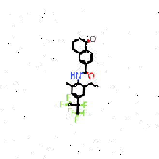 CCc1cc(C(F)(C(F)(F)F)C(F)(F)F)cc(C)c1NC(=O)c1ccc2c(c1)CCCC2=O